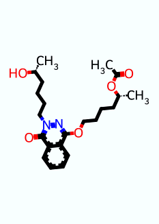 CC(=O)O[C@H](C)CCCCOc1nn(CCCC[C@@H](C)O)c(=O)c2ccccc12